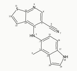 Cc1c(Nc2c(C#N)cnc3sccc23)ccc2[nH]ccc12